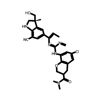 C=N/C(=N\C(=C/C)c1cc(C#N)c2c(c1)[C@@](C)(CO)CN2)Nc1cc(Cl)cc2c1OCC(C(=O)N(C)C)C2